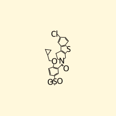 CS(=O)(=O)c1ccc(OCC2CC2)c(C(=O)N2CCc3c(sc4ccc(Cl)cc34)C2)c1